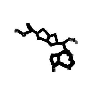 CC(C)OC(=O)N1CC2CC(N(C)c3ncnc4[nH]ccc34)CC2C1